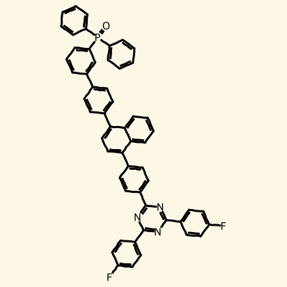 O=P(c1ccccc1)(c1ccccc1)c1cccc(-c2ccc(-c3ccc(-c4ccc(-c5nc(-c6ccc(F)cc6)nc(-c6ccc(F)cc6)n5)cc4)c4ccccc34)cc2)c1